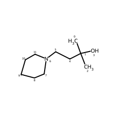 CC(C)(O)CCN1CC[CH]CC1